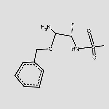 C[C@H](NS(C)(=O)=O)C(N)OCc1ccccc1